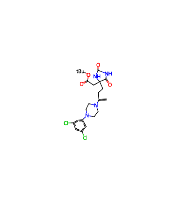 C=C(CCC1(CC(=O)OC(C)(C)C)NC(=O)NC1=O)N1CCN(c2cc(Cl)cc(Cl)c2)CC1